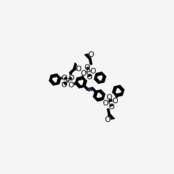 O=P(OCC1CO1)(Oc1ccccc1)Oc1ccc(/C=C/c2cc(OP(=O)(OCC3CO3)Oc3ccccc3)cc(OP(=O)(OCC3CO3)Oc3ccccc3)c2)cc1